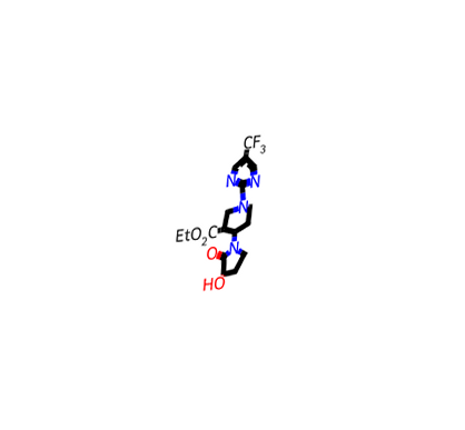 CCOC(=O)C1CN(c2ncc(C(F)(F)F)cn2)CCC1N1CCC(O)C1=O